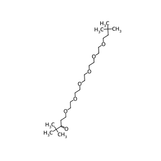 CC(C)(C)CCOCCOCCOCCOCCOCCOCCC(=O)C(C)(C)C